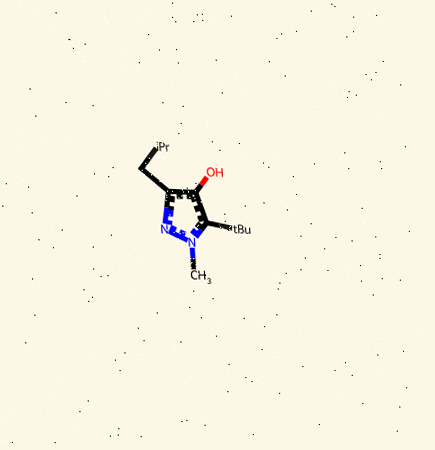 CC(C)Cc1nn(C)c(C(C)(C)C)c1O